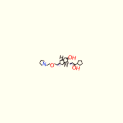 O[C@H](/C=C/[C@@H]1[C@H]2C/C(=C/COCCN3CCCC3)C[C@H]2C[C@H]1O)C1CCCC1